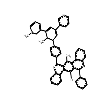 Cc1c2c(-c3ccc(C4C=C(c5cccnc5)C=C(C5=CC=CN(C)C5)C4C)cc3)nc3ccccc3c2c(C)c2c(-c3ccccc3)nc3ccccc3c12